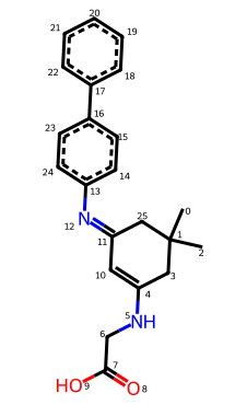 CC1(C)CC(NCC(=O)O)=C/C(=N/c2ccc(-c3ccccc3)cc2)C1